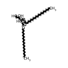 CCCCCCCCCCCCCCCCCCCCOC[C@H](COP(=O)(O)OC[C@@H](O)CO)OC(=O)CCCCCCCCCCCCCCCCCCC